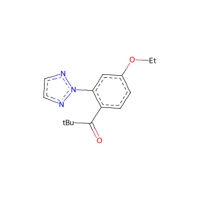 CCOc1ccc(C(=O)C(C)(C)C)c(-n2nccn2)c1